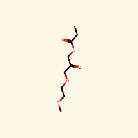 CCC(=O)OCC(=O)COCCOC